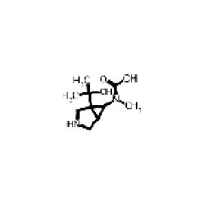 CN(C(=O)O)C1C2CNCC21C(C)(C)C